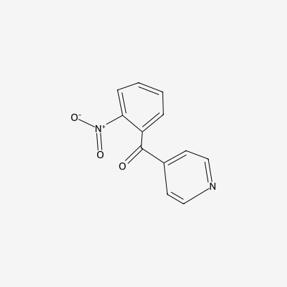 O=C(c1ccncc1)c1ccccc1[N+](=O)[O-]